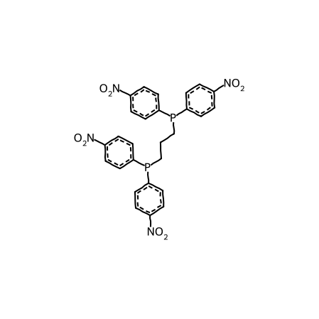 O=[N+]([O-])c1ccc(P(CCCP(c2ccc([N+](=O)[O-])cc2)c2ccc([N+](=O)[O-])cc2)c2ccc([N+](=O)[O-])cc2)cc1